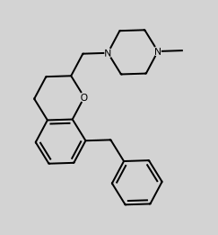 CN1CCN(CC2CCc3cccc(Cc4ccccc4)c3O2)CC1